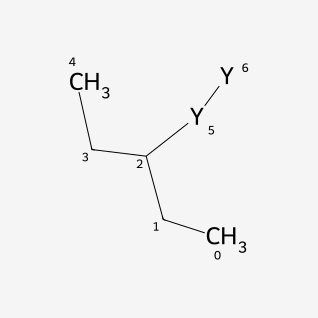 CC[CH](CC)[Y][Y]